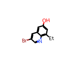 CCc1cc(O)cc2cc(Br)cnc12